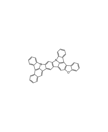 c1ccc2c(c1)cc1c3cc4c5cc6oc7ccccc7c6c6c7ccccc7n(c4cc3n3c4ccccc4c2c13)c56